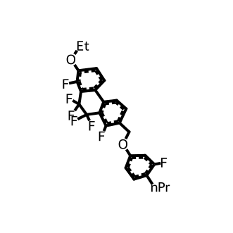 CCCc1ccc(OCc2ccc3c(c2F)C(F)(F)C(F)(F)c2c-3ccc(OCC)c2F)cc1F